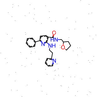 O=C(NCC1CCCO1)c1ccc(-c2ccccc2)nc1NCCc1ccccn1